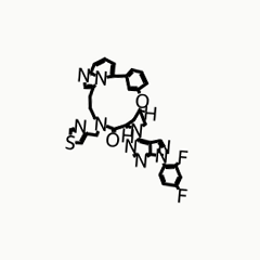 O=C1[C@@H]2C[C@@H](CN2c2ncnc3c2cnn3-c2ccc(F)cc2F)Oc2cccc(c2)-c2cccc3ncc(n23)CCCN1Cc1cscn1